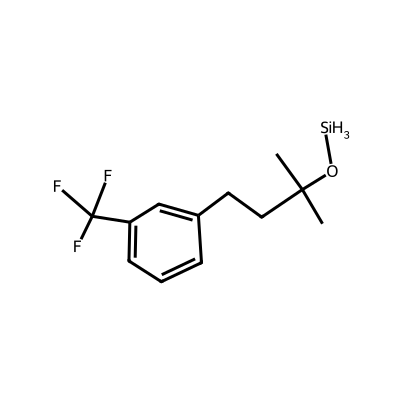 CC(C)(CCc1cccc(C(F)(F)F)c1)O[SiH3]